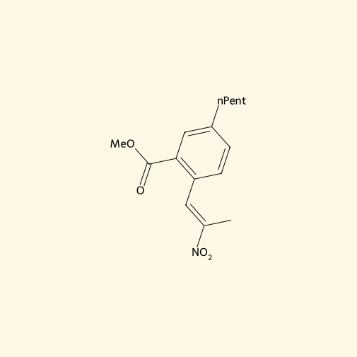 CCCCCc1ccc(C=C(C)[N+](=O)[O-])c(C(=O)OC)c1